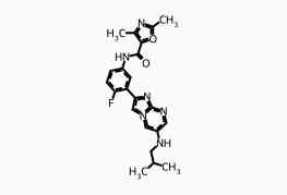 Cc1nc(C)c(C(=O)Nc2ccc(F)c(-c3cn4cc(NCC(C)C)cnc4n3)c2)o1